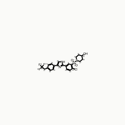 O=S(=O)(c1cc(-c2nc(-c3ccc(CC(F)(F)F)cc3)c[nH]2)ccc1Cl)N1CCC(O)CC1